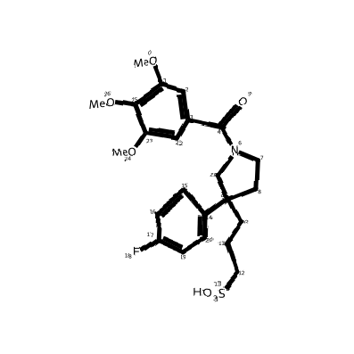 COc1cc(C(=O)N2CCC(CCCS(=O)(=O)O)(c3ccc(F)cc3)C2)cc(OC)c1OC